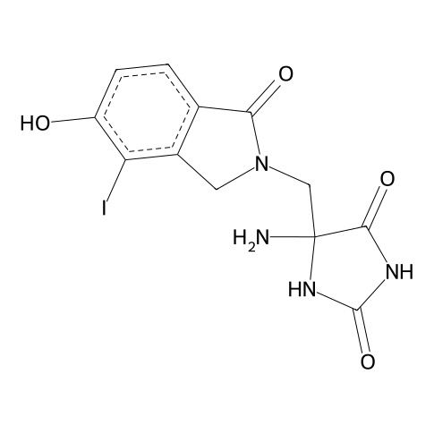 NC1(CN2Cc3c(ccc(O)c3I)C2=O)NC(=O)NC1=O